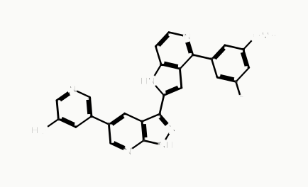 COc1cc(F)cc(-c2nccc3[nH]c(-c4n[nH]c5ncc(-c6cncc(O)c6)cc45)cc23)c1